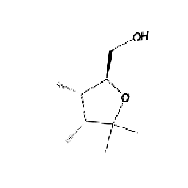 C[C@H]1[C@@H](C)C(C)(C)O[C@@H]1CO